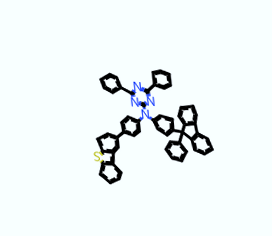 c1ccc(-c2nc(-c3ccccc3)nc(N(c3ccc(-c4ccc5sc6ccccc6c5c4)cc3)c3ccc(C4(c5ccccc5)c5ccccc5-c5ccccc54)cc3)n2)cc1